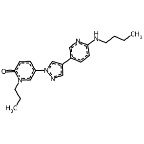 CCCCNc1ccc(-c2cnn(-c3ccc(=O)n(CCC)c3)c2)cn1